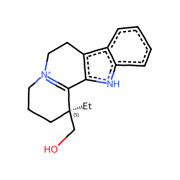 CC[C@]1(CO)CCC[N+]2=C1c1[nH]c3ccccc3c1CC2